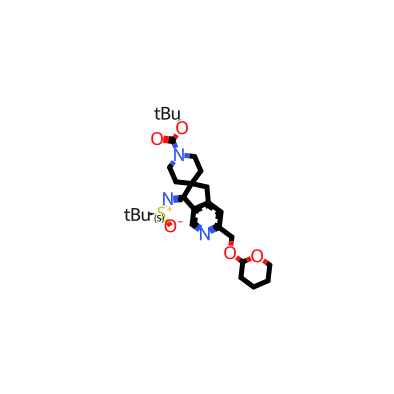 CC(C)(C)OC(=O)N1CCC2(CC1)Cc1cc(COC3CCCCO3)ncc1C2=N[S@+]([O-])C(C)(C)C